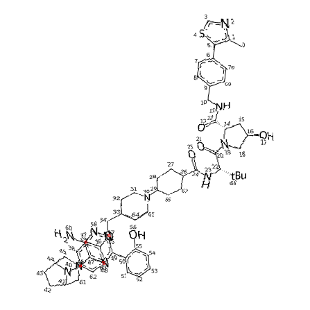 Cc1ncsc1-c1ccc(CNC(=O)[C@@H]2C[C@@H](O)CN2C(=O)[C@@H](NC(=O)C2CCC(N3CCC(COc4ccc(N5C6CCC5CN(c5cc(-c7ccccc7O)nnc5N)C6)cn4)CC3)CC2)C(C)(C)C)cc1